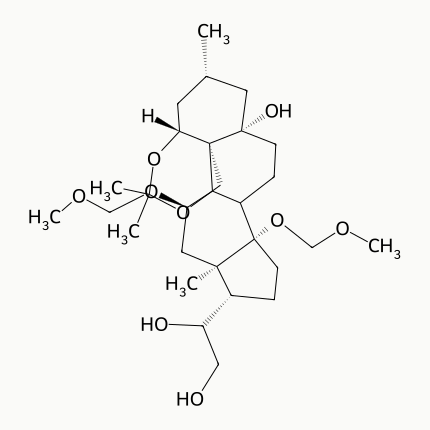 COCO[C@@H]1C[C@]2(C)[C@@H](C(O)CO)CC[C@]2(OCOC)C2CC[C@]3(O)C[C@@H](C)C[C@H]4OC(C)(C)OC[C@]43C21